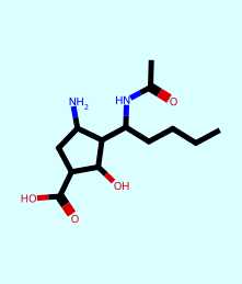 CCCCC(NC(C)=O)C1C(N)CC(C(=O)O)C1O